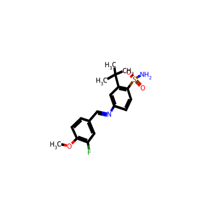 COc1ccc(/C=N/c2ccc(S(N)(=O)=O)c(C(C)(C)C)c2)cc1F